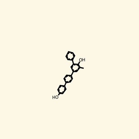 Cc1cc(-c2ccc(-c3ccc(O)cc3)cc2)cc(-c2ccccc2)c1O